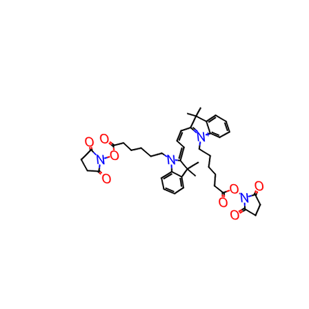 CC1(C)C(/C=C\C=C2/N(CCCCCC(=O)ON3C(=O)CCC3=O)c3ccccc3C2(C)C)=[N+](CCCCCC(=O)ON2C(=O)CCC2=O)c2ccccc21